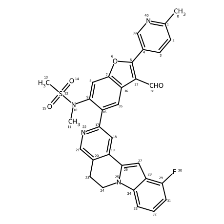 Cc1ccc(-c2oc3cc(N(C)S(C)(=O)=O)c(-c4cc5c(cn4)CCn4c-5cc5c(F)cccc54)cc3c2C=O)cn1